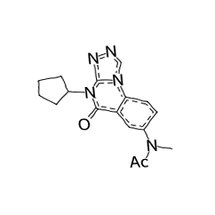 CC(=O)N(C)c1ccc2c(c1)c(=O)n(C1CCCC1)c1nncn21